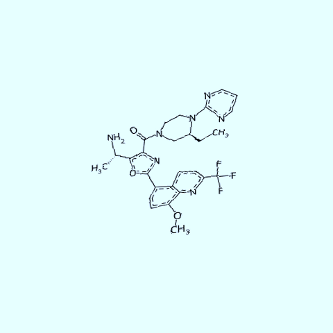 CC[C@H]1CN(C(=O)c2nc(-c3ccc(OC)c4nc(C(F)(F)F)ccc34)oc2[C@H](C)N)CCN1c1ncccn1